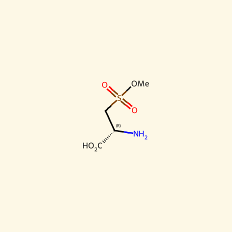 COS(=O)(=O)C[C@H](N)C(=O)O